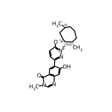 C[C@H]1CCC[C@H](C)[C@H](F)[C@H](Oc2ccc(-c3cc4c(=O)n(C)cnc4cc3O)nn2)C1